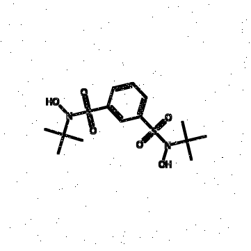 CC(C)(C)N(O)S(=O)(=O)c1cccc(S(=O)(=O)N(O)C(C)(C)C)c1